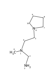 CN(CN)CCN1CCCC1